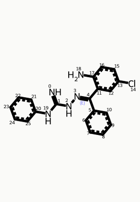 N=C(N/N=C(\c1ccccc1)c1cc(Cl)ccc1N)Nc1ccccc1